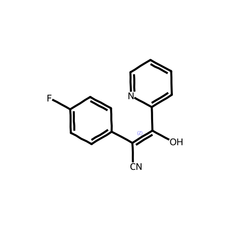 N#C/C(=C(\O)c1ccccn1)c1ccc(F)cc1